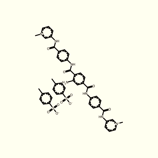 C[n+]1cccc(NC(=O)c2ccc(NC(=O)c3ccc(C(=O)Nc4ccc(C(=O)Nc5ccc[n+](C)c5)cc4)c(N)c3)cc2)c1.Cc1ccc(S(=O)(=O)[O-])cc1.Cc1ccc(S(=O)(=O)[O-])cc1